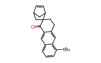 CC(C)(C)c1cccc2cc3c(cc12)CCC1(CC2C=CC1C2)C3=O